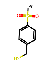 CC(C)S(=O)(=O)c1ccc(CS)cc1